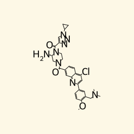 COc1ccc(-c2cc(Cl)c3ccc(C(=O)N4CCN(C(=O)c5cn(C6CC6)nn5)[C@H](N)C4)cc3n2)cc1CN(C)C